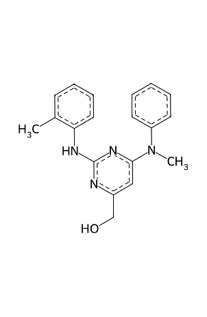 Cc1ccccc1Nc1nc(CO)cc(N(C)c2ccccc2)n1